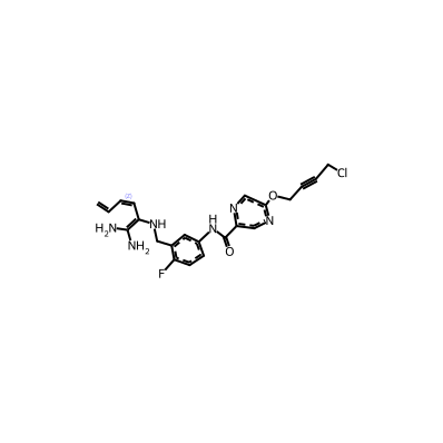 C=C/C=C\C(NCc1cc(NC(=O)c2cnc(OCC#CCCl)cn2)ccc1F)=C(N)N